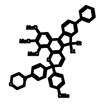 CCC1(CC)c2cc(-c3ccccc3)ccc2-c2c1c1c(c3c(OC)c(OC)c(OC)cc23)OC(c2ccc(OC)cc2)(c2ccc(N3CCOCC3)cc2)C=C1